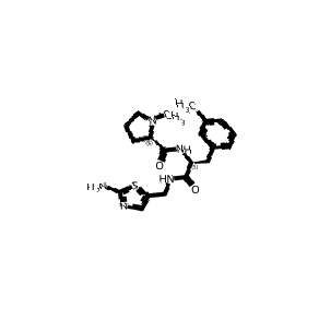 Cc1cccc(C[C@H](NC(=O)[C@H]2CCCN2C)C(=O)NCc2cnc(N)s2)c1